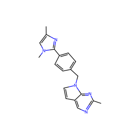 Cc1cn(C)c(-c2ccc(Cn3ccc4cnc(C)nc43)cc2)n1